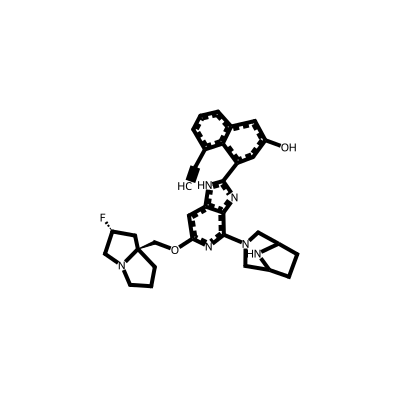 C#Cc1cccc2cc(O)cc(-c3nc4c(N5CC6CCC(C5)N6)nc(OC[C@@]56CCCN5C[C@H](F)C6)cc4[nH]3)c12